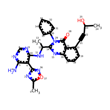 Cc1nc(-c2c(N)ncnc2NC(C)c2nc3cccc(C#CC(C)O)c3c(=O)n2-c2ccccc2)no1